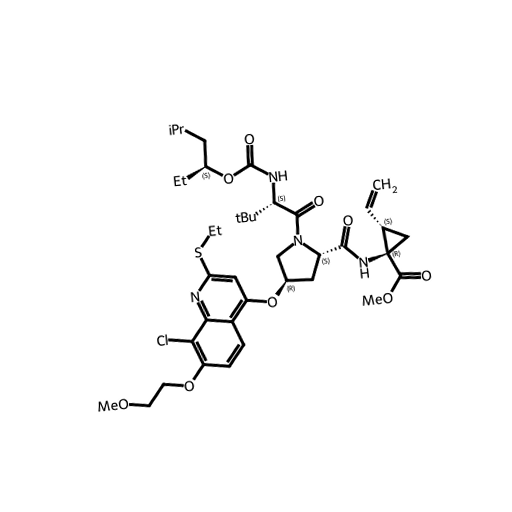 C=C[C@@H]1C[C@]1(NC(=O)[C@@H]1C[C@@H](Oc2cc(SCC)nc3c(Cl)c(OCCOC)ccc23)CN1C(=O)[C@@H](NC(=O)O[C@@H](CC)CC(C)C)C(C)(C)C)C(=O)OC